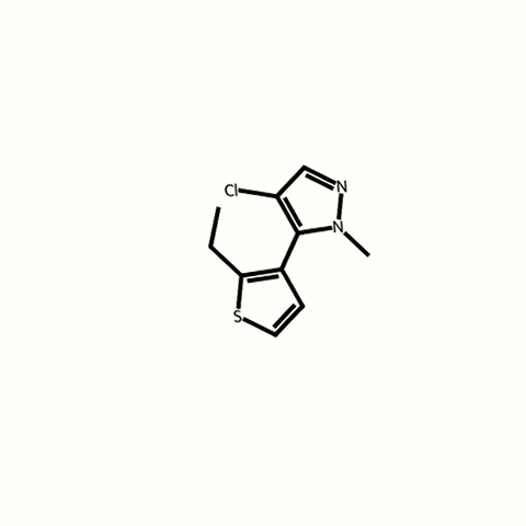 CCc1sccc1-c1c(Cl)cnn1C